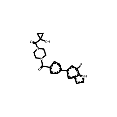 O=C(c1ccc(-c2cc(F)c3[nH]ccc3c2)cc1)N1CCN(C(=O)C2(O)CC2)CC1